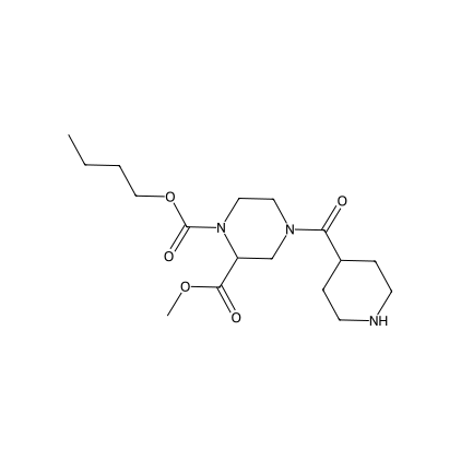 CCCCOC(=O)N1CCN(C(=O)C2CCNCC2)CC1C(=O)OC